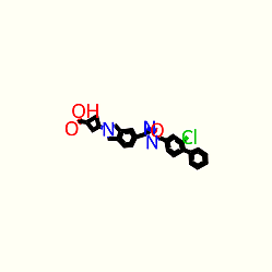 O=C(O)C1CC(N2Cc3ccc(-c4noc(-c5ccc(-c6ccccc6)c(Cl)c5)n4)cc3C2)C1